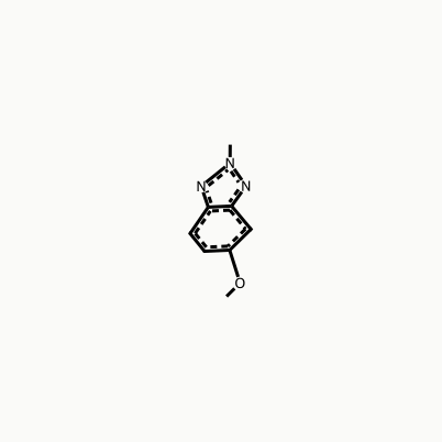 COc1ccc2nn(C)nc2c1